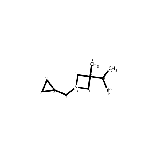 CC(C)C(C)C1(C)CN(CC2CC2)C1